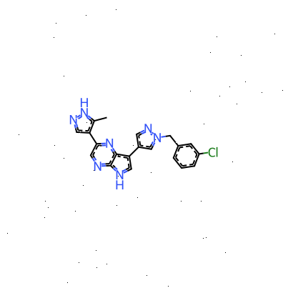 Cc1[nH]ncc1-c1cnc2[nH]cc(-c3cnn(Cc4cccc(Cl)c4)c3)c2n1